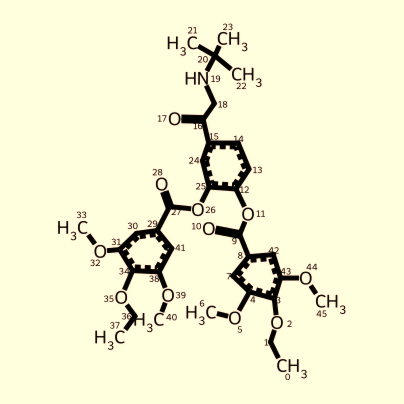 CCOc1c(OC)cc(C(=O)Oc2ccc(C(=O)CNC(C)(C)C)cc2OC(=O)c2cc(OC)c(OCC)c(OC)c2)cc1OC